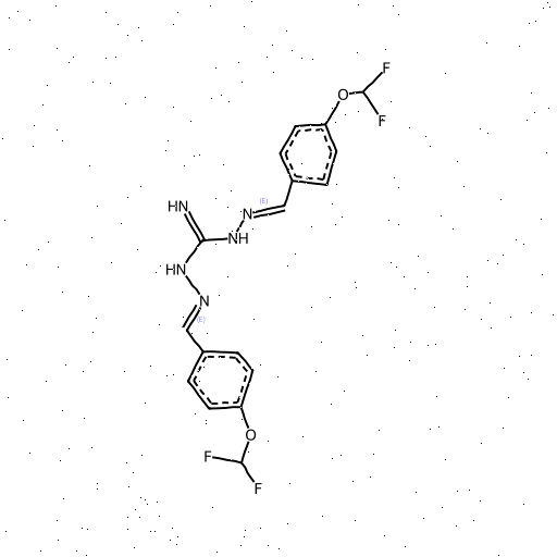 N=C(N/N=C/c1ccc(OC(F)F)cc1)N/N=C/c1ccc(OC(F)F)cc1